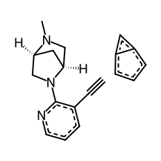 C#Cc1cccnc1N1C[C@@H]2C[C@H]1CN2C.c1cc2cc-2c1